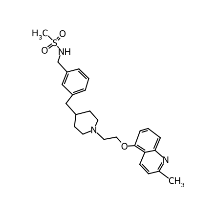 Cc1ccc2c(OCCN3CCC(Cc4cccc(CNS(C)(=O)=O)c4)CC3)cccc2n1